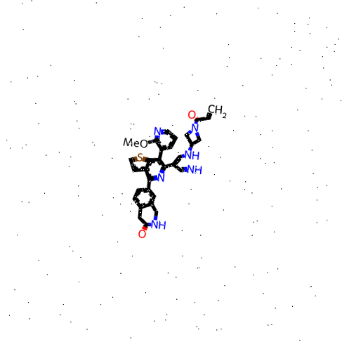 C=CC(=O)N1CC(N/C=C(\C=N)c2nc(-c3ccc4c(c3)CNC(=O)C4)c3ccsc3c2-c2cccnc2OC)C1